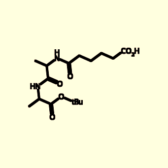 CC(NC(=O)CCCCC(=O)O)C(=O)NC(C)C(=O)OC(C)(C)C